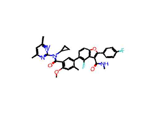 CNC(=O)c1c(-c2ccc(F)cc2)oc2ccc(-c3cc(C(=O)N(c4nc(C)cc(C)n4)C4CC4)c(OC)cc3C)c(F)c12